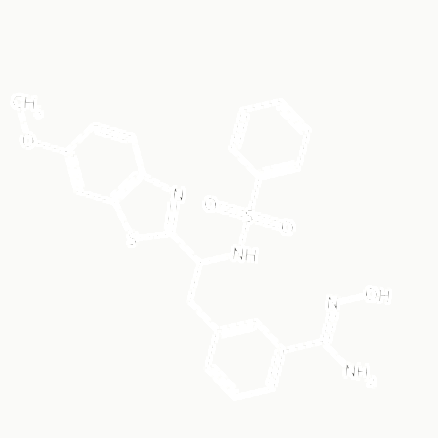 COc1ccc2nc(C(Cc3cccc(C(N)=NO)c3)NS(=O)(=O)c3ccccc3)sc2c1